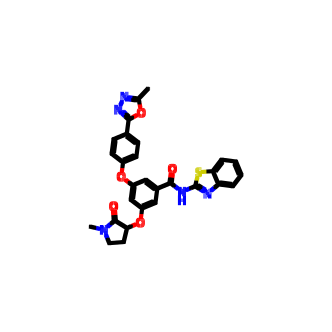 Cc1nnc(-c2ccc(Oc3cc(OC4CCN(C)C4=O)cc(C(=O)Nc4nc5ccccc5s4)c3)cc2)o1